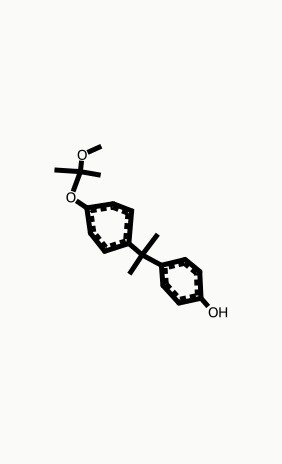 COC(C)(C)Oc1ccc(C(C)(C)c2ccc(O)cc2)cc1